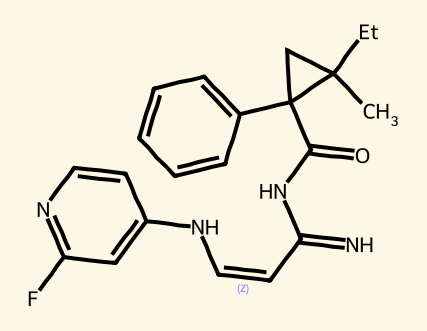 CCC1(C)CC1(C(=O)NC(=N)/C=C\Nc1ccnc(F)c1)c1ccccc1